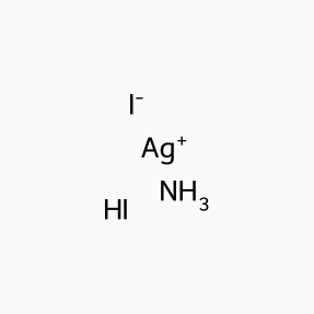 I.N.[Ag+].[I-]